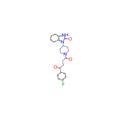 O=C(CCC(=O)N1CCC(n2c(=O)[nH]c3ccccc32)CC1)c1ccc(F)cc1